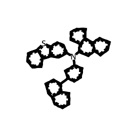 c1cc(-c2cccc3ccccc23)cc(N(c2ccc3sc4ccccc4c3c2)c2cc3ccccc3c3ccccc23)c1